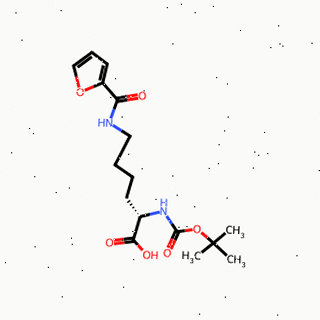 CC(C)(C)OC(=O)N[C@@H](CCCCNC(=O)c1ccco1)C(=O)O